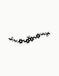 C=CC(=O)OCCCOc1ccc(CCc2ccc3c(c2)C(F)(F)c2cc(CCc4ccc(OCCCOC(=O)C=C)cc4)ccc2-3)cc1